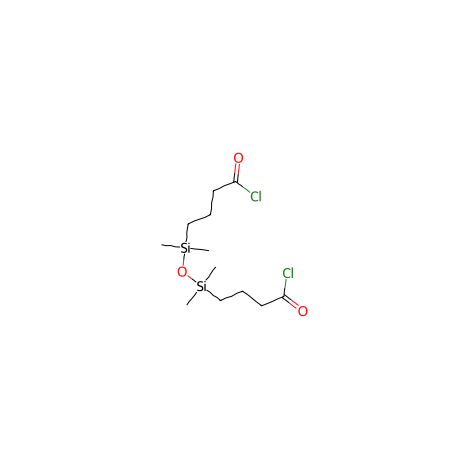 C[Si](C)(CCCC(=O)Cl)O[Si](C)(C)CCCC(=O)Cl